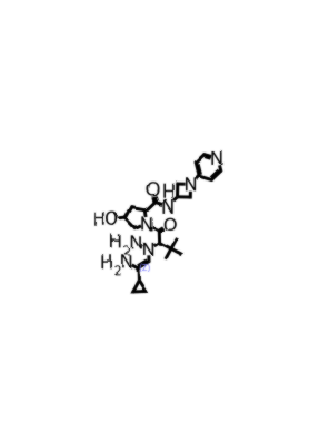 CC(C)(C)C(C(=O)N1CC(O)CC1C(=O)NC1CN(c2ccncc2)C1)N(N)/C=C(\N)C1CC1